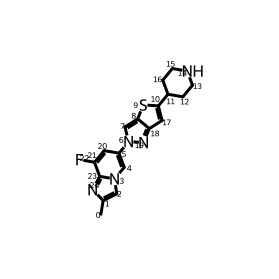 Cc1cn2cc(-n3cc4sc(C5CCNCC5)cc4n3)cc(F)c2n1